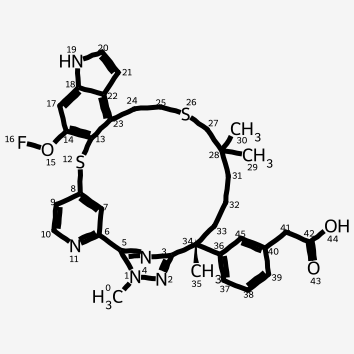 Cn1nc2nc1-c1cc(ccn1)Sc1c(OF)cc3[nH]ccc3c1CCSCC(C)(C)CCC[C@]2(C)c1cccc(CC(=O)O)c1